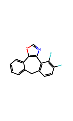 Fc1ccc2c(c1F)-c1ncoc1-c1ccccc1C2